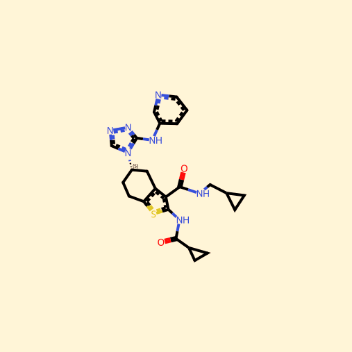 O=C(NCC1CC1)c1c(NC(=O)C2CC2)sc2c1C[C@@H](n1cnnc1Nc1cccnc1)CC2